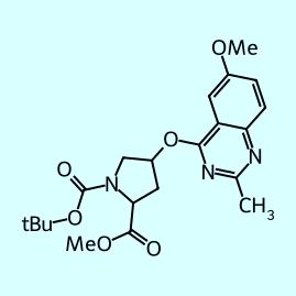 COC(=O)C1CC(Oc2nc(C)nc3ccc(OC)cc23)CN1C(=O)OC(C)(C)C